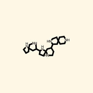 C1CNC2(C1)CNCC(C1CCC3(CC(C4CC5(CCNCC5)CCN4)CCN3)N1)C2